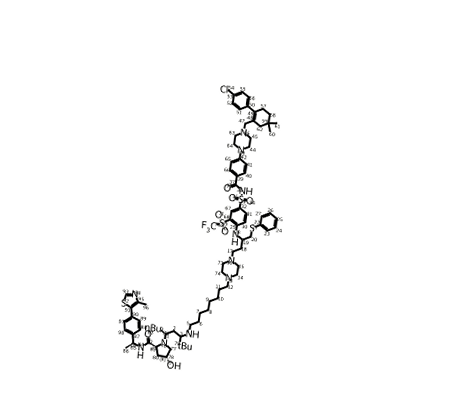 CCCC[C@@H](CC(NCCCCCCCCN1CCN(CCC(CSc2ccccc2)Nc2ccc(S(=O)(=O)NC(=O)c3ccc(N4CCN(CC5=C(c6ccc(Cl)cc6)CCC(C)(C)C5)CC4)cc3)cc2S(=O)(=O)C(F)(F)F)CC1)C(C)(C)C)N1C[C@H](O)C[C@H]1C(=O)N[C@@H](C)c1ccc(-c2scnc2C)cc1